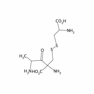 CC(N)C(=O)C(N)(CSSCC(N)C(=O)O)C(=O)O